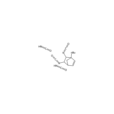 CCCCC12C=CC(C1)C(N=C=O)C2N=C=O.N=C=O.N=C=O